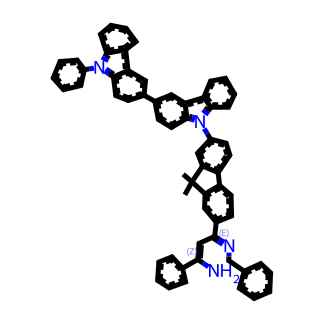 CC1(C)c2cc(C(/C=C(\N)c3ccccc3)=N/Cc3ccccc3)ccc2-c2ccc(-n3c4ccccc4c4cc(-c5ccc6c(c5)c5ccccc5n6-c5ccccc5)ccc43)cc21